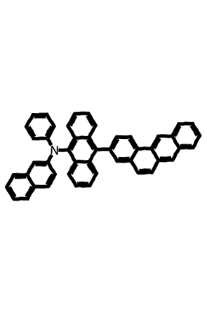 c1ccc(N(c2ccc3ccccc3c2)c2c3ccccc3c(-c3ccc4c(ccc5cc6ccccc6cc54)c3)c3ccccc23)cc1